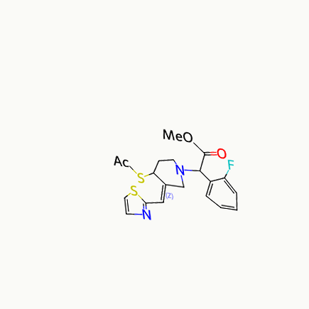 COC(=O)C(c1ccccc1F)N1CCC(SC(C)=O)/C(=C\c2nccs2)C1